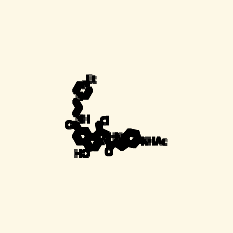 CCN1CCN(CCCNC(=O)c2ccc3c(O)cc4c(c3c2)C(CCl)CN4C(=O)c2cc3cc(NC(C)=O)ccc3[nH]2)CC1